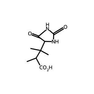 CC(C(=O)O)C(C)(C)C1NC(=O)NC1=O